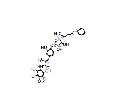 C/C(=C\c1ccc(O[C@@H]2O[C@H](/C(C)=C/COCc3ccccc3)[C@@H](O)[C@@H]2O)c(O)c1)C(=O)Nc1c(O)c(O)c2c(c1O)OCO2